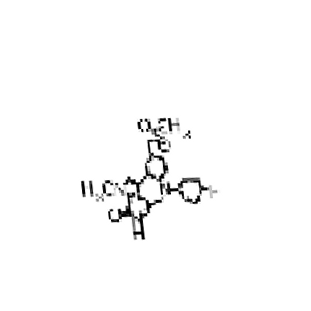 Cn1cc2c3c(c[nH]c(=O)c31)CN(c1ccc(F)cc1)c1ccc(CS(C)(=O)=O)cc1-2